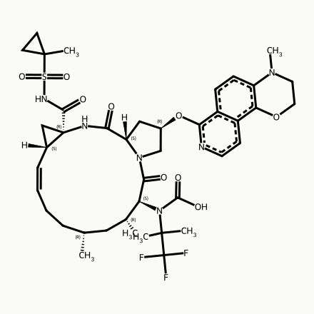 C[C@@H]1CCC=C[C@@H]2C[C@@]2(C(=O)NS(=O)(=O)C2(C)CC2)NC(=O)[C@@H]2C[C@@H](Oc3nccc4c5c(ccc34)N(C)CCO5)CN2C(=O)[C@@H](N(C(=O)O)C(C)(C)C(F)(F)F)[C@H](C)C1